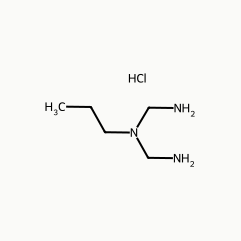 CCCN(CN)CN.Cl